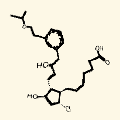 CC(C)OCCc1cccc(CC(O)/C=C/[C@@H]2[C@@H](C/C=C\CCCC(=O)O)[C@H](Cl)C[C@H]2O)c1